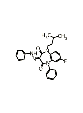 CC(C)CCn1c(=O)c(=NNc2ccccc2)c(=O)n(-c2ccccc2)c2cc(F)ccc21